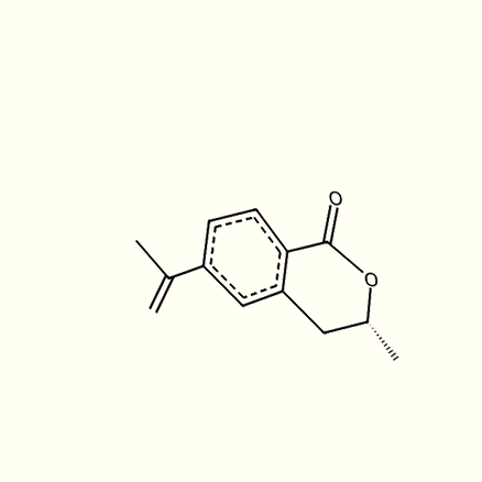 C=C(C)c1ccc2c(c1)C[C@@H](C)OC2=O